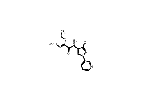 CCN(C(=O)C(=NOC)SCC(F)(F)F)c1cn(-c2cccnc2)nc1Cl